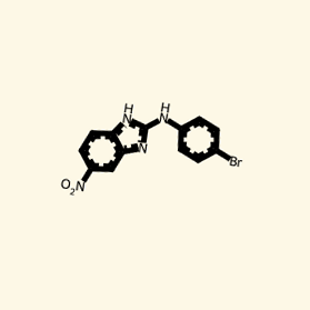 O=[N+]([O-])c1ccc2[nH]c(Nc3ccc(Br)cc3)nc2c1